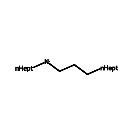 CCCCCCCCCC[N]CCCCCCC